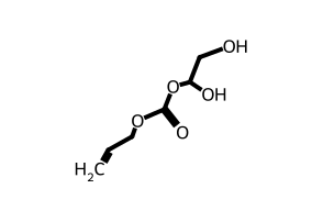 C=CCOC(=O)OC(O)CO